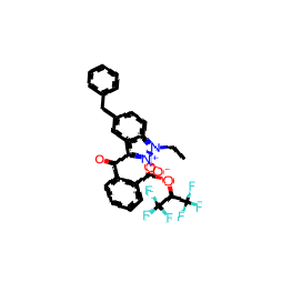 CCn1c2ccc(Cc3ccccc3)cc2c(C(=O)c2ccccc2C(=O)OC(C(F)(F)F)C(F)(F)F)[n+]1[O-]